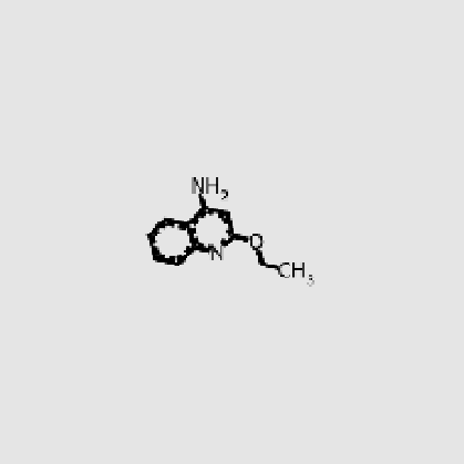 CCOc1cc(N)c2ccccc2n1